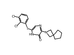 O=c1[nH]c(Sc2cccc(Cl)c2Cl)cnc1N1CC2(CCCC2)C1